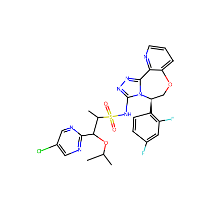 CC(C)OC(c1ncc(Cl)cn1)C(C)S(=O)(=O)Nc1nnc2n1[C@H](c1ccc(F)cc1F)COc1cccnc1-2